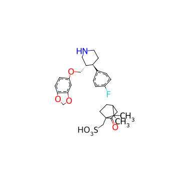 CC1(C)C2CCC1(CS(=O)(=O)O)C(=O)C2.Fc1ccc([C@@H]2CCNC[C@H]2COc2ccc3c(c2)OCO3)cc1